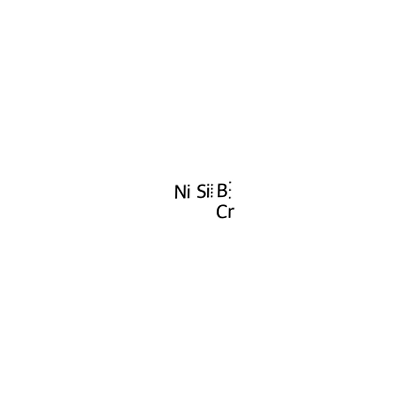 [B].[Cr].[Ni].[Si]